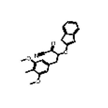 COc1cc(CC(OC2=Cc3ccccc3C2)C(=O)C#N)cc(OC)c1C